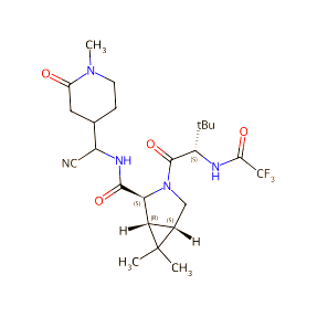 CN1CCC(C(C#N)NC(=O)[C@@H]2[C@@H]3[C@H](CN2C(=O)[C@@H](NC(=O)C(F)(F)F)C(C)(C)C)C3(C)C)CC1=O